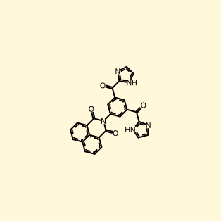 O=C(c1cc(C(=O)c2ncc[nH]2)cc(N2C(=O)c3cccc4cccc(c34)C2=O)c1)c1ncc[nH]1